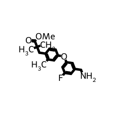 COC(=O)C(C)(C)Cc1ccc(Oc2cc(F)cc(CN)c2)cc1C